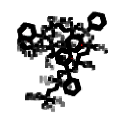 C=C[Si](C)(C)O[Si](O[Si](C)(C)C=C)(O[Si](C)(C)CC[Si](C)(C)O[Si](O[Si](C)(C)CC[Si](C)(C)O[Si](O[Si](C)(C)CC[Si](C)(C)OC)(c1ccccc1)c1ccccc1)(c1ccccc1)c1ccccc1)c1ccccc1